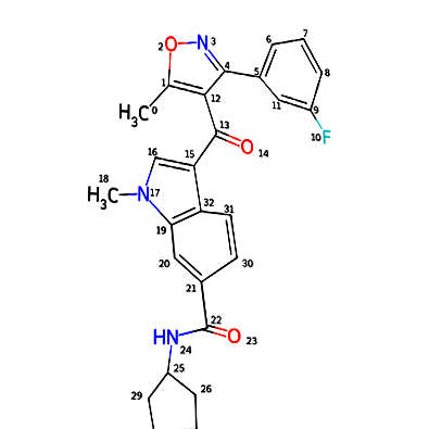 Cc1onc(-c2cccc(F)c2)c1C(=O)c1cn(C)c2cc(C(=O)NC3CCCC3)ccc12